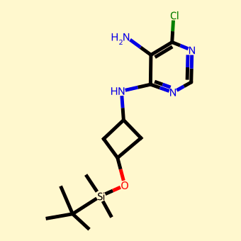 CC(C)(C)[Si](C)(C)OC1CC(Nc2ncnc(Cl)c2N)C1